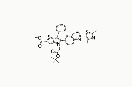 COC(=O)c1cc2c(s1)c(-c1ccccc1)c(-c1ccc3nc(-c4sc(C)nc4C)ccc3c1)n2CC(=O)OC(C)(C)C